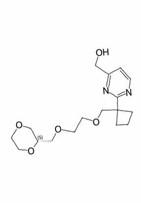 OCc1ccnc(C2(COCCOC[C@H]3COCCO3)CCC2)n1